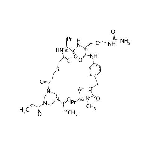 C=CC(=O)N1CN(C(=O)C=C)CN(C(=O)CCSCC(=O)N[C@H](C(=O)N[C@@H](CCCNC(N)=O)C(=O)Nc2ccc(COC(=O)N(C)[C@H](C(C)=O)C(C)C)cc2)C(C)C)C1